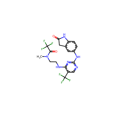 CN(CCNc1nc(Nc2ccc3c(c2)CC(=O)N3)ncc1C(F)(F)F)C(=O)C(F)(F)F